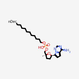 CCCCCCCCCCCCCCCCCCCCCOP(=O)(O)OC[C@]1(C)CC[C@H](c2ccc3c(N)ncnn23)O1